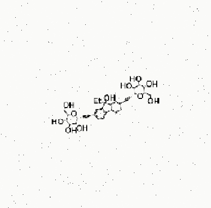 CCC1(O)c2cc(C#C[C@H]3O[C@H](CO)[C@@H](O)[C@H](O)[C@@H]3O)ccc2-c2ccc(C#C[C@H]3O[C@H](CO)[C@@H](O)[C@H](O)[C@@H]3O)cc21